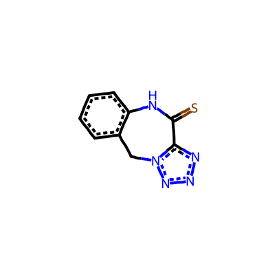 S=C1Nc2ccccc2Cn2nnnc21